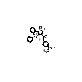 Cc1c(C(=O)Nc2ccc([S+](C)[O-])cc2)cn(C)c1-c1ccccc1Oc1ccccc1